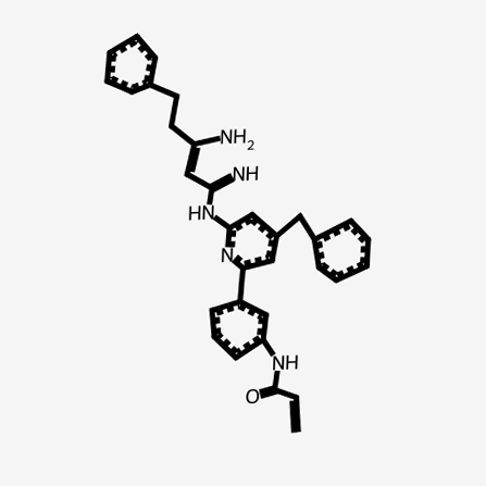 C=CC(=O)Nc1cccc(-c2cc(Cc3ccccc3)cc(NC(=N)/C=C(\N)CCc3ccccc3)n2)c1